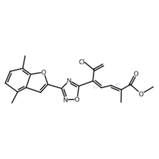 C=C(Cl)/C(=C\C=C(/C)C(=O)OC)c1nc(-c2cc3c(C)ccc(C)c3o2)no1